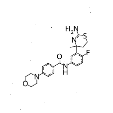 CC1(c2cc(NC(=O)c3ccc(N4CCOCC4)cc3)ccc2F)CCSC(N)=N1